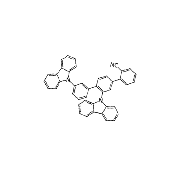 N#Cc1ccccc1-c1ccc(-c2cccc(-n3c4ccccc4c4ccccc43)c2)c(-n2c3ccccc3c3ccccc32)c1